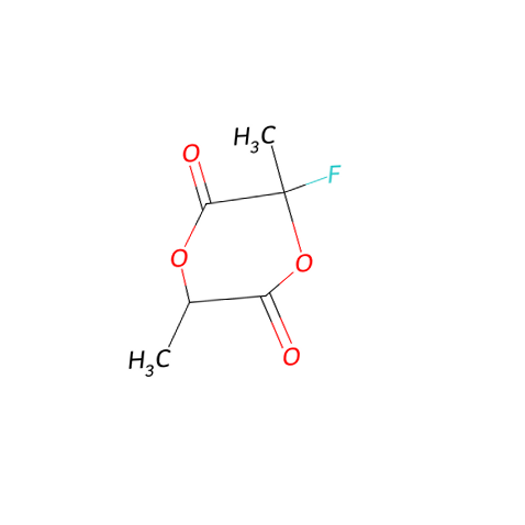 CC1OC(=O)C(C)(F)OC1=O